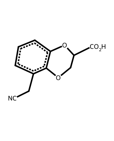 N#CCc1cccc2c1OCC(C(=O)O)O2